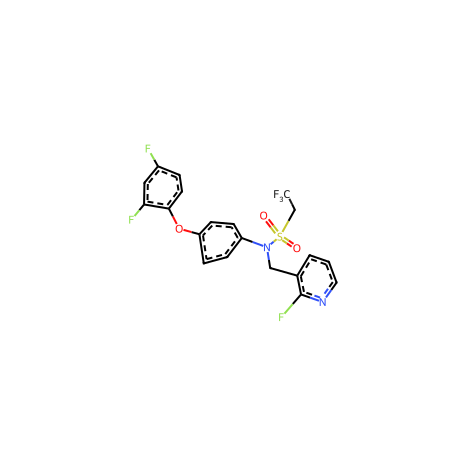 O=S(=O)(CC(F)(F)F)N(Cc1cccnc1F)c1ccc(Oc2ccc(F)cc2F)cc1